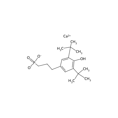 CC(C)(C)c1cc(CCCP(=O)([O-])[O-])cc(C(C)(C)C)c1O.[Ca+2]